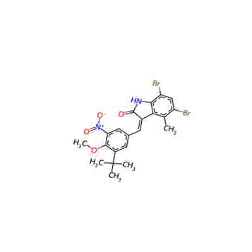 COc1c([N+](=O)[O-])cc(C=C2C(=O)Nc3c(Br)cc(Br)c(C)c32)cc1C(C)(C)C